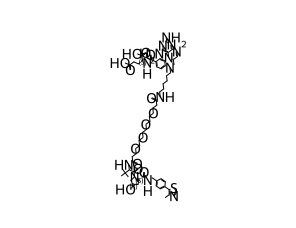 Cc1ncsc1-c1ccc(CNC(=O)[C@@H]2C[C@@H](O)CN2C(=O)C(NC(=O)CCOCCOCCOCCOCCC(=O)NCCCCCCN(Cc2cnc3nc(N)nc(N)c3n2)c2ccc(C(=O)N[C@@H](CCC(=O)O)C(=O)O)cc2)C(C)(C)C)cc1